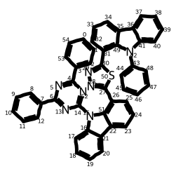 c1ccc(-c2nc(-c3ccccc3)nc(-n3c4ccccc4c4cccc(-c5nnc(-c6cccc7c8ccccc8n(-c8ccccc8)c67)s5)c43)n2)cc1